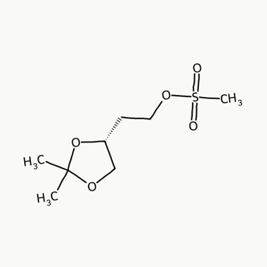 CC1(C)OC[C@@H](CCOS(C)(=O)=O)O1